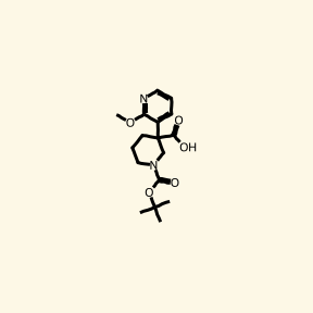 COc1ncccc1C1(C(=O)O)CCCN(C(=O)OC(C)(C)C)C1